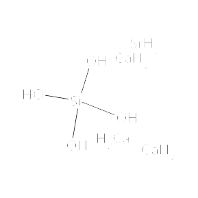 O[Si](O)(O)O.[CaH2].[CaH2].[CaH2].[SrH2]